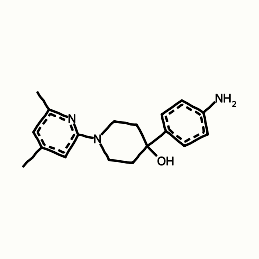 Cc1cc(C)nc(N2CCC(O)(c3ccc(N)cc3)CC2)c1